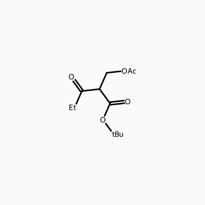 CCC(=O)C(COC(C)=O)C(=O)OC(C)(C)C